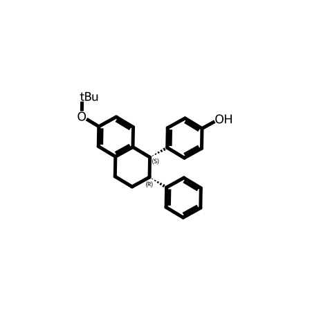 CC(C)(C)Oc1ccc2c(c1)CC[C@@H](c1ccccc1)[C@H]2c1ccc(O)cc1